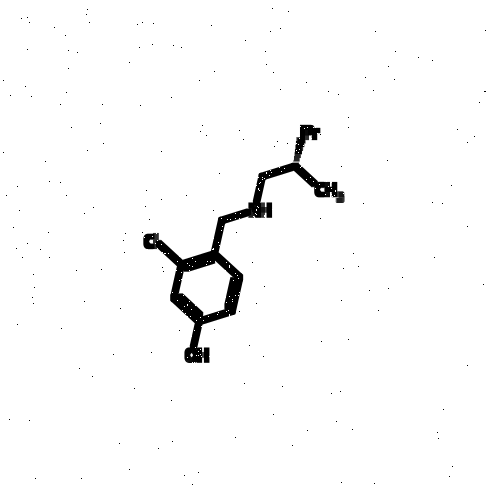 CC(C)[C@H](C)CNCc1ccc(O)cc1Cl